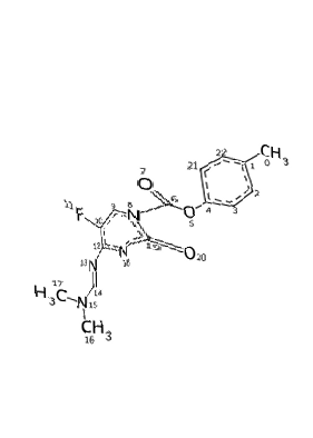 Cc1ccc(OC(=O)n2cc(F)c(/N=C/N(C)C)nc2=O)cc1